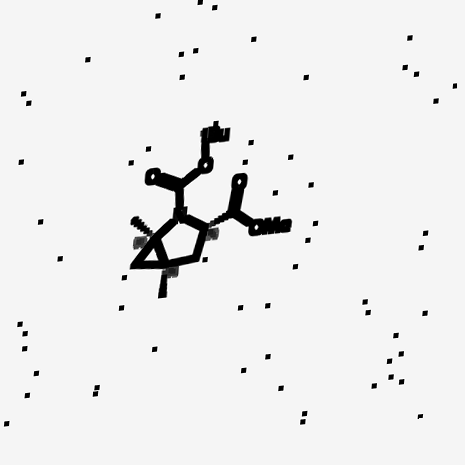 COC(=O)[C@@H]1C[C@@]2(C)C[C@@]2(C)N1C(=O)OC(C)(C)C